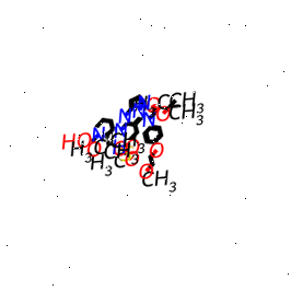 COCCOc1ccc(N(C(=O)OC(C)(C)C)c2c(CCOS(C)(=O)=O)c(NC3CCCN(C(=O)O)[C@H]3C(C)(C)C)nc3ccnn23)cc1